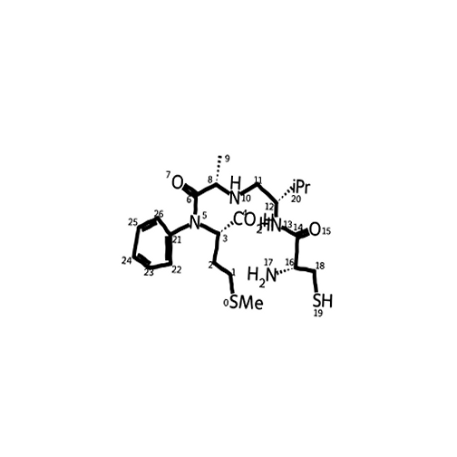 CSCC[C@@H](C(=O)O)N(C(=O)[C@H](C)NC[C@@H](NC(=O)[C@@H](N)CS)C(C)C)c1ccccc1